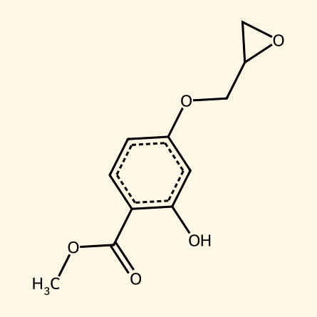 COC(=O)c1ccc(OCC2CO2)cc1O